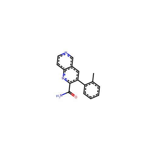 Cc1ccccc1-c1cc2cnccc2nc1C(N)=O